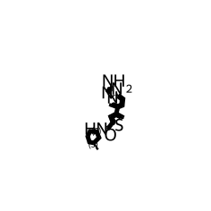 C[C@H]1CCC[C@H](NC(=O)c2cc(-c3ccc4nc(N)nn4c3)cs2)C1